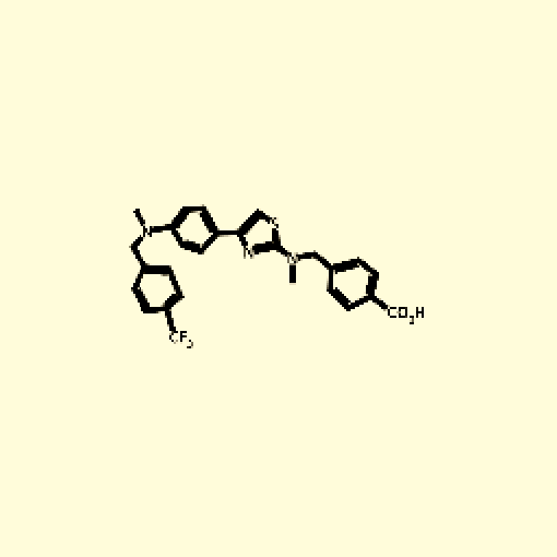 CN(Cc1ccc(C(F)(F)F)cc1)c1ccc(-c2csc(N(C)Cc3ccc(C(=O)O)cc3)n2)cc1